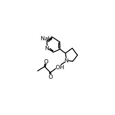 CC(=O)C(=O)O.CN1CCCC1c1cccnc1.[NaH]